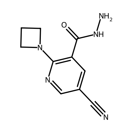 N#Cc1cnc(N2CCC2)c(C(=O)NN)c1